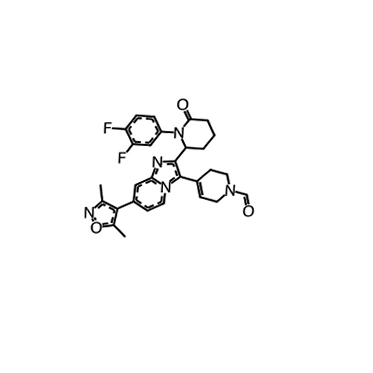 Cc1noc(C)c1-c1ccn2c(C3=CCN(C=O)CC3)c(C3CCCC(=O)N3c3ccc(F)c(F)c3)nc2c1